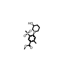 COC(=O)c1cc(S(C)(=O)=O)c(N2CCCC(O)C2)cc1C